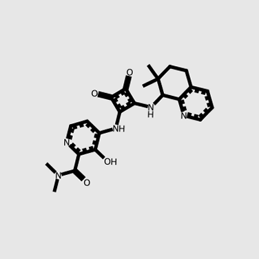 CN(C)C(=O)c1nccc(Nc2c(NC3c4ncccc4CCC3(C)C)c(=O)c2=O)c1O